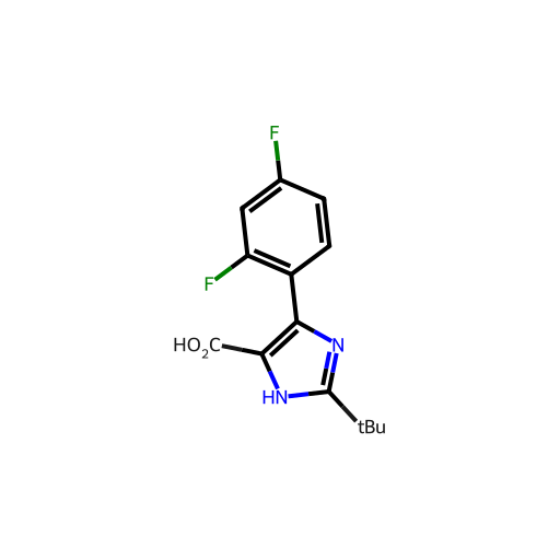 CC(C)(C)c1nc(-c2ccc(F)cc2F)c(C(=O)O)[nH]1